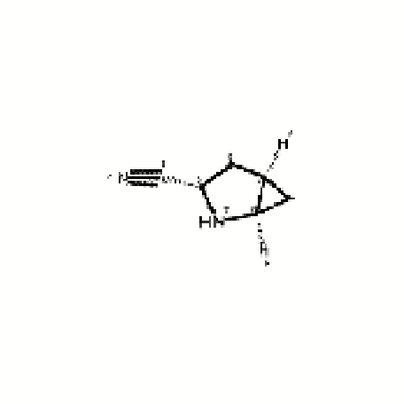 N#C[C@@H]1C[C@H]2C[C@H]2N1